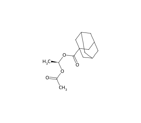 CC(=O)O[C@@H](C)OC(=O)C12CC3CC(CC(C3)C1)C2